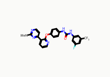 CNc1nccc(-c2cccnc2Oc2ccc(NC(=O)Nc3cc(F)cc(C(F)(F)F)c3)cc2)n1